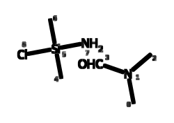 CN(C)C=O.C[Si](C)(N)Cl